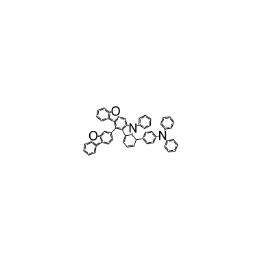 C1=CC(c2ccc(N(c3ccccc3)c3ccccc3)cc2)C2C(=C1)c1c(cc3oc4ccccc4c3c1-c1ccc3c(c1)oc1ccccc13)N2c1ccccc1